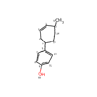 CC1C=CCC(c2ccc(O)cc2)CC1